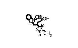 CCN1C(=O)C(=C(C=C2Sc3ccccc3N2CC)CCC(=O)O)SC1=S